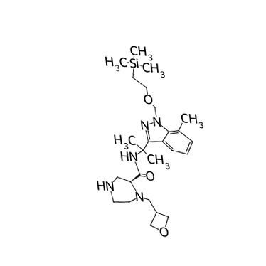 Cc1cccc2c(C(C)(C)NC(=O)[C@@H]3CNCCN3CC3COC3)nn(COCC[Si](C)(C)C)c12